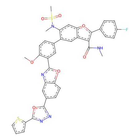 CNC(=O)c1c(-c2ccc(F)cc2)oc2cc(N(C)S(C)(=O)=O)c(-c3ccc(OC)c(-c4nc5cc(-c6nnc(-c7cccs7)o6)ccc5o4)c3)cc12